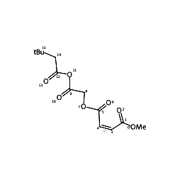 COC(=O)/C=C\C(=O)OCC(=O)OC(=O)CC(C)(C)C